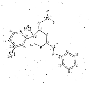 CN(C)CC1CC(OCc2ccccc2)CCC1(O)c1cccc(Cl)c1